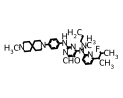 C=CCN(C)N(c1cccc(C(C)C(C)F)n1)c1nc(Nc2ccc(N3CCC4(CCN(C)CC4)CC3)cc2)ncc1C=O